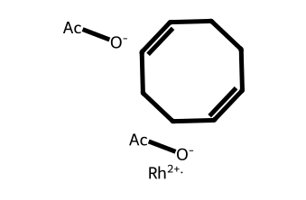 C1=CCCC=CCC1.CC(=O)[O-].CC(=O)[O-].[Rh+2]